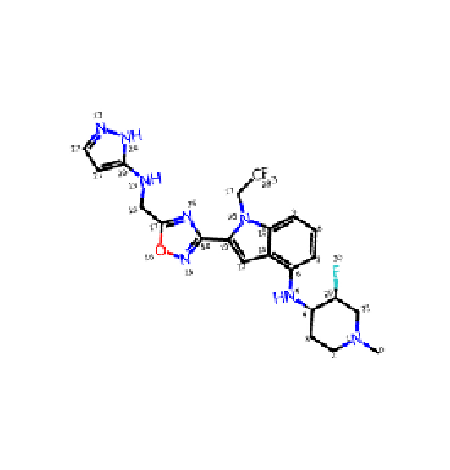 CN1CC[C@@H](Nc2cccc3c2cc(-c2noc(CNc4ccn[nH]4)n2)n3CC(F)(F)F)[C@@H](F)C1